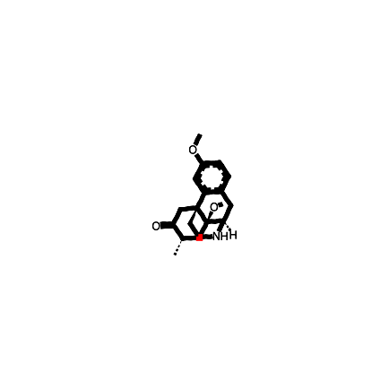 COc1ccc2c(c1)[C@]13CCN[C@H](C2)[C@]1(OC)C[C@H](C)C(=O)C3